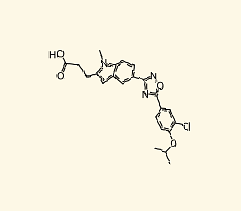 CC(C)Oc1ccc(-c2nc(-c3ccc4c(c3)cc(CCC(=O)O)n4C)no2)cc1Cl